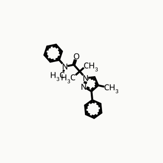 Cc1cn(C(C)(C)C(=O)N(C)c2ccccc2)nc1-c1ccccc1